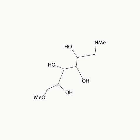 CNCC(O)C(O)C(O)C(O)COC